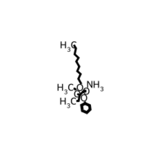 CCCCCCCCCCOC(=O)C(CC)(OCC)Oc1ccccc1.N